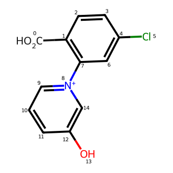 O=C(O)c1ccc(Cl)cc1-[n+]1cccc(O)c1